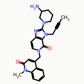 CC#CCn1c(N2CCCC(N)C2)nc2ccn(Cc3cc(=O)n(C)c4ccccc34)c(=O)c21